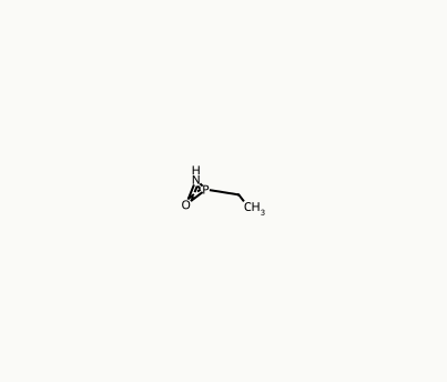 CCp1[nH]o1